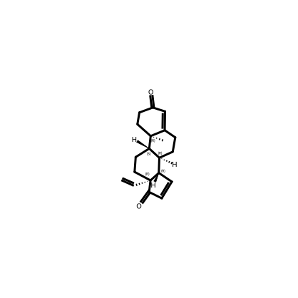 C=C[C@]12CC[C@H]3[C@@H](CCC4=CC(=O)CC[C@@]43C)[C@@H]1C=CC2=O